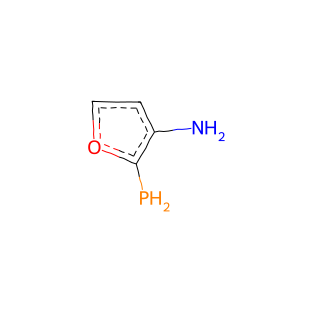 Nc1ccoc1P